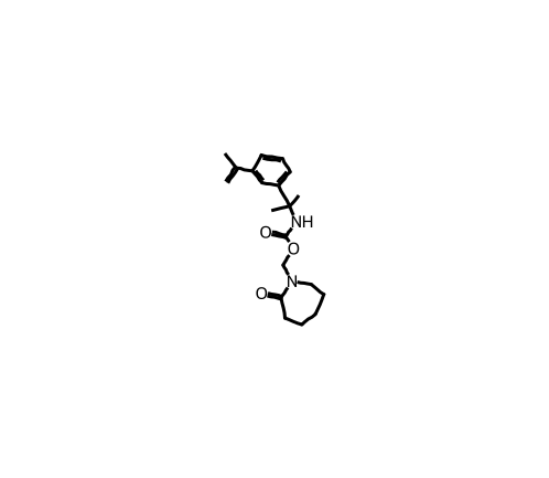 C=C(C)c1cccc(C(C)(C)NC(=O)OCN2CCCCCC2=O)c1